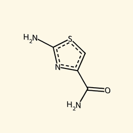 NC(=O)c1csc(N)n1